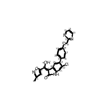 Cc1cc(C(O)=C2C(=O)Nc3cc(Cl)c(-c4ccc(OCc5ncccn5)cc4)cc32)on1